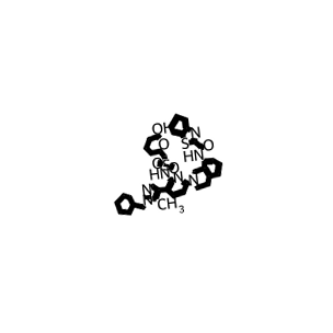 Cc1c(-c2ccc(N3CCc4cccc(NC(=O)c5nc6ccccc6s5)c4C3)nc2NS(=O)(=O)CCCCCC(=O)O)cnn1CC1CCCCC1